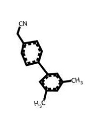 Cc1cc(C)cc(-c2ccc(CC#N)cc2)c1